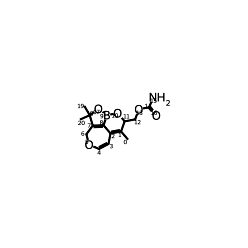 CC1=C2C=COCC3=C2B(OC1COC(N)=O)OC3(C)C